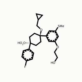 CSc1cc(OCCO)cc([C@]2(OCC3CC3)CC[C@@](C(=O)O)(c3ccc(F)cc3)CC2)c1